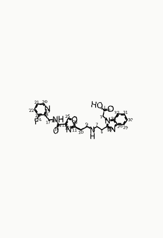 O=C(O)Cn1c(CCNCCc2nc(C(=O)NCc3ncccc3F)co2)nc2ccccc21